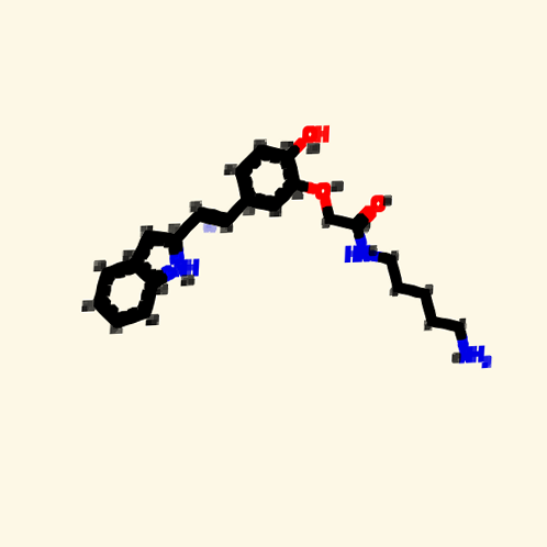 NCCCCCNC(=O)COc1cc(/C=C/c2cc3ccccc3[nH]2)ccc1O